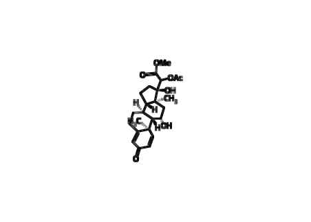 COC(=O)C(OC(C)=O)[C@@]1(O)CC[C@H]2[C@@H]3CCC4=CC(=O)C=C[C@]4(C)[C@H]3[C@@H](O)C[C@@]21C